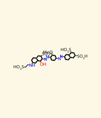 COc1cc(/N=N/c2ccc3cc(S(=O)(=O)O)cc(S(=O)(=O)O)c3c2)ccc1/N=N/c1c(S(=O)(=O)O)cc2ccc(NCCS(=O)(=O)O)cc2c1O